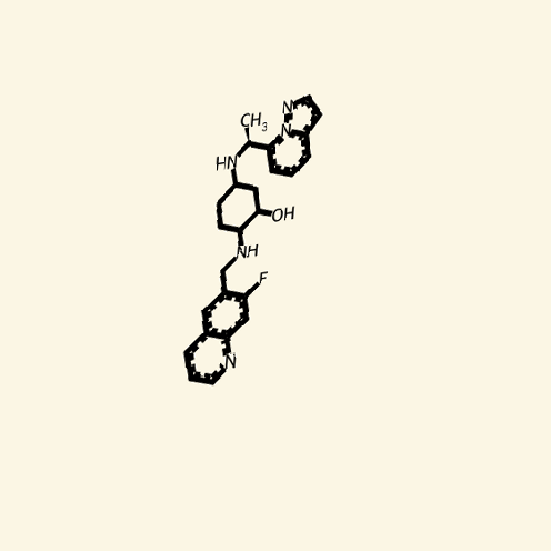 C[C@H](NC1CCC(NCc2cc3cccnc3cc2F)C(O)C1)c1cccc2ccnn12